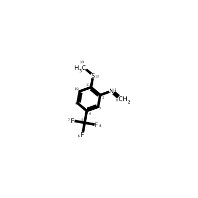 C=Nc1cc(C(F)(F)F)ccc1SC